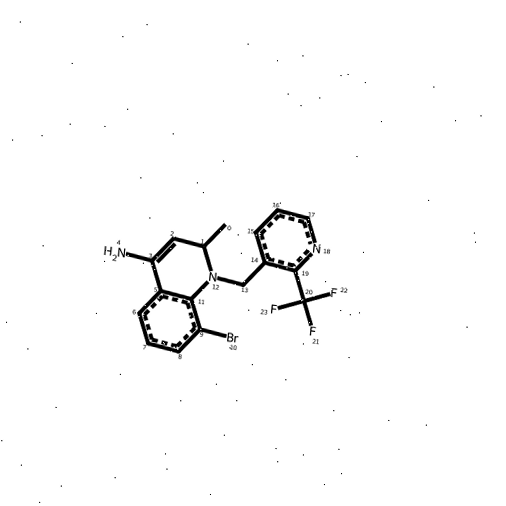 CC1C=C(N)c2cccc(Br)c2N1Cc1cccnc1C(F)(F)F